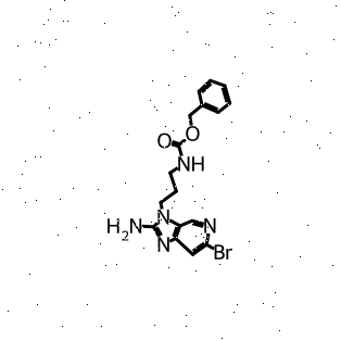 Nc1nc2cc(Br)ncc2n1CCCNC(=O)OCc1ccccc1